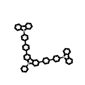 c1ccc(-n2c3ccc(-c4ccc(-c5ccc(-n6c7ccccc7c7ccccc76)cc5)cc4)cc3c3cc(-c4ccc(-c5ccc(-n6c7ccccc7c7ccccc76)cc5)cc4)ccc32)cc1